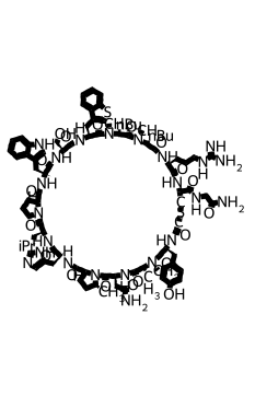 CCCC[C@H]1C(=O)N(C)[C@@H](CCCC)C(=O)N[C@@H](CCCNC(=N)N)C(=O)NC(C(=O)NCC(N)=O)CSCC(=O)N[C@@H](Cc2ccc(O)cc2)C(=O)N(C)[C@@H](C)C(=O)N[C@@H](CC(N)=O)C(=O)N2[C@@H](C)CC[C@H]2C(=O)N[C@@H](Cc2cnc[nH]2)C(=O)N[C@@H](CC(C)C)C(=O)N2CCC[C@H]2C(=O)N[C@@H](Cc2c[nH]c3ccccc23)C(=O)N[C@@H](CO)C(=O)N[C@@H](Cc2csc3ccccc23)C(=O)N1C